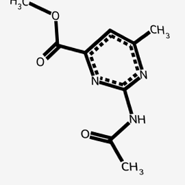 COC(=O)c1cc(C)nc(NC(C)=O)n1